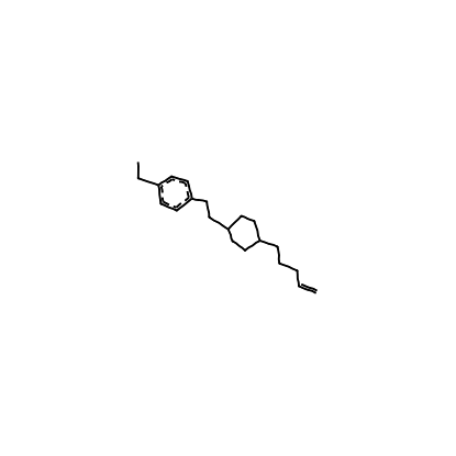 C=CCCCC1CCC(CCc2ccc(CC)cc2)CC1